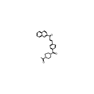 CC(=O)N1CCN(C(=O)c2ccc(C=CC(=O)c3ccc4ccccc4n3)cc2)CC1